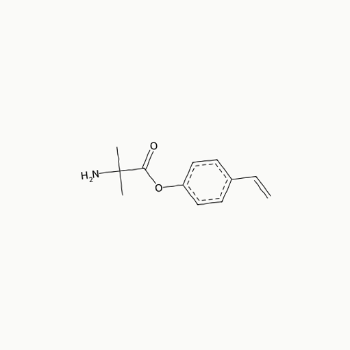 C=Cc1ccc(OC(=O)C(C)(C)N)cc1